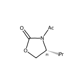 CC(=O)N1C(=O)OC[C@H]1C(C)C